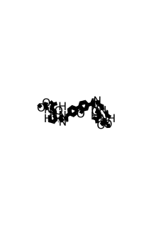 CCCN(Cc1ncc(-c2ccc3c(c2)oc2cc(-c4cnc([C@@H]5CCCN5C(=O)[C@@H](NC(=O)OC)C(C)C)[nH]4)ccc23)[nH]1)C(=O)[C@@H](NC(=O)OC)C(C)C